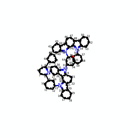 c1ccc(-c2cccc(-c3cccc(-n4c5ccccc5c5ccc6c(c7ccccc7n6-c6cccc(-n7c8ccccc8c8ccc9c%10ccccc%10n(-c%10ccccc%10)c9c87)c6)c54)c3)n2)cc1